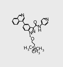 C[Si](C)(C)CCOCn1nc(C(=O)Nc2ccncc2)c2cc(-c3cncc4ccccc34)ccc21